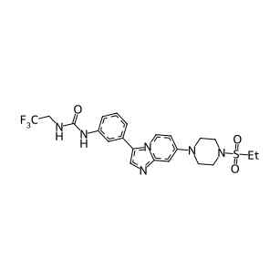 CCS(=O)(=O)N1CCN(c2ccn3c(-c4cccc(NC(=O)NCC(F)(F)F)c4)cnc3c2)CC1